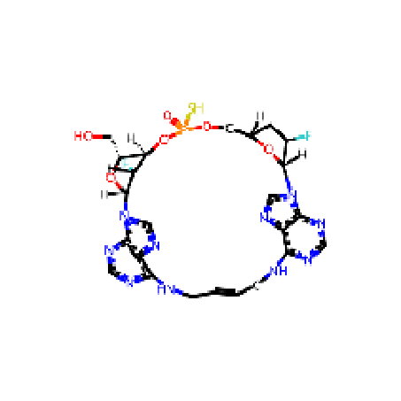 O=P1(S)OC[C@@H]2C[C@@H](F)[C@@H](O2)n2cnc3c(ncnc32)NC/C=C/CNc2ncnc3c2ncn3[C@@H]2O[C@H](CO)[C@@H](O1)[C@H]2F